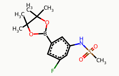 CC1(C)OB(c2cc(F)cc(NS(C)(=O)=O)c2)OC1(C)C